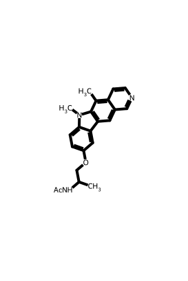 CC(=O)NC(C)COc1ccc2c(c1)c1cc3cnccc3c(C)c1n2C